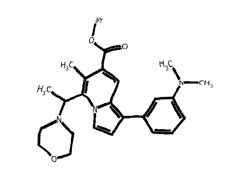 Cc1c(C(=O)OC(C)C)cc2c(-c3cccc(N(C)C)c3)ccn2c1C(C)N1CCOCC1